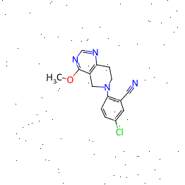 COc1ncnc2c1CN(c1ccc(Cl)cc1C#N)CC2